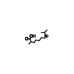 CC(CCCCCN(C)C(C)C)C(=O)O